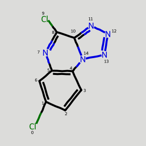 Clc1ccc2c(c1)nc(Cl)c1nnnn12